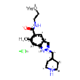 COCCNC(=O)c1cc2cn(CC3CCNCC3)nc2cc1C.Cl